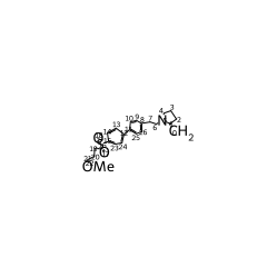 C=C1CCCN1CCc1ccc(-c2ccc(S(=O)(=O)CCCOC)cc2)cc1